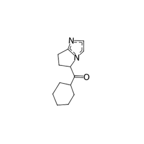 O=C(C1CCCCC1)C1CCc2nccn21